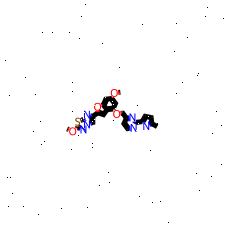 COc1cc(OCc2ccnc(C3=CCC(C)=N3)n2)c2cc(-c3cn4nc(OC)sc4n3)oc2c1